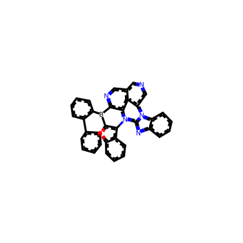 c1ccc(-c2ccccc2B2c3oc4ccccc4c3-n3c4c2ncc2cncc(c24)n2c4ccccc4nc32)cc1